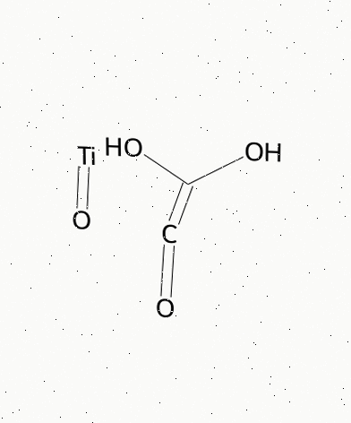 O=C=C(O)O.[O]=[Ti]